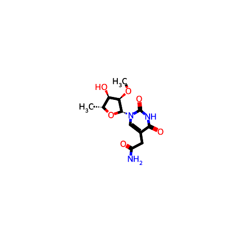 CO[C@@H]1[C@H](O)[C@@H](C)O[C@H]1n1cc(CC(N)=O)c(=O)[nH]c1=O